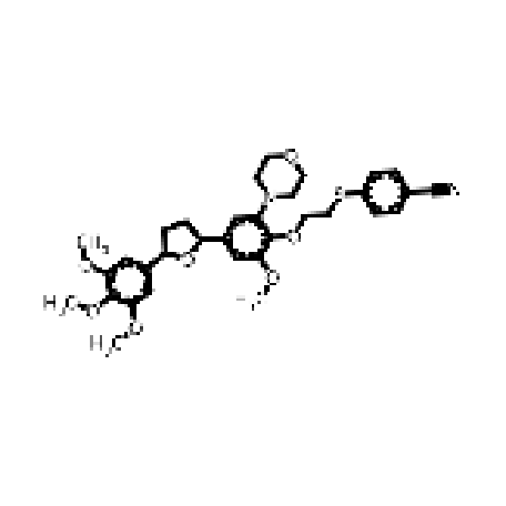 COc1cc(C2CCC(c3cc(OC)c(OCCSc4ccc(C#N)cc4)c(N4CCOCC4)c3)O2)cc(OC)c1OC